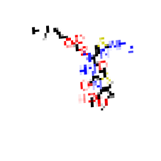 C=CC1=C(C(=O)O)N2C(=O)C(NC(=O)C(=NOCC(=O)OCCCC)c3csc(N)n3)[C@@H]2SC1